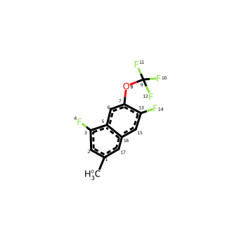 Cc1cc(F)c2cc(OC(F)(F)F)c(F)cc2c1